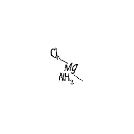 N.[CH3][Mg][Cl]